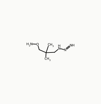 CC(C)(CNN=N)CON